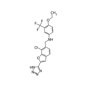 CCOc1ccc(NCc2ccc3cc(-c4nnn[nH]4)oc3c2Cl)cc1C(F)(F)F